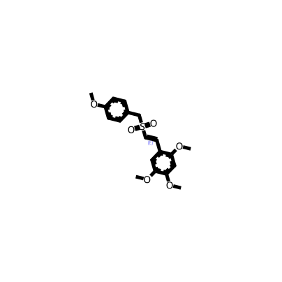 COc1ccc(CS(=O)(=O)/C=C/c2cc(OC)c(OC)cc2OC)cc1